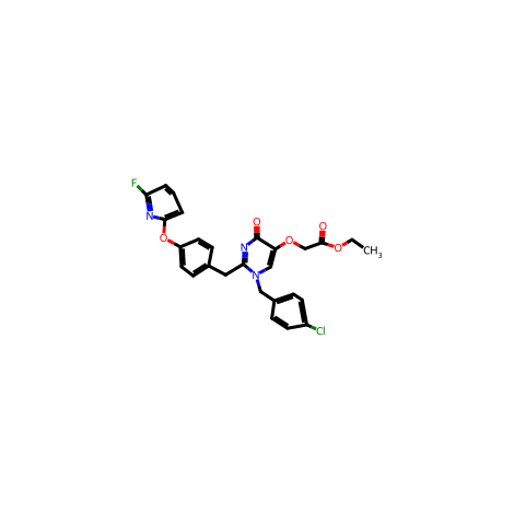 CCOC(=O)COc1cn(Cc2ccc(Cl)cc2)c(Cc2ccc(Oc3cccc(F)n3)cc2)nc1=O